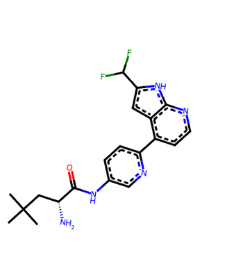 CC(C)(C)C[C@@H](N)C(=O)Nc1ccc(-c2ccnc3[nH]c(C(F)F)cc23)nc1